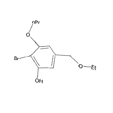 CCCOc1cc(COCC)cc(O)c1Br